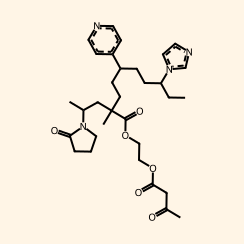 CCC(CCC(CCC(C)(CC(C)N1CCCC1=O)C(=O)OCCOC(=O)CC(C)=O)c1ccncc1)n1ccnc1